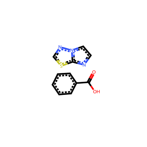 O=C(O)c1ccccc1.c1cn2ncsc2n1